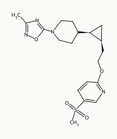 Cc1noc(N2CCC([C@H]3C[C@H]3CCOc3ccc(S(C)(=O)=O)cn3)CC2)n1